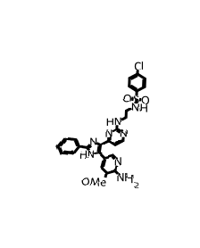 COC1C=C(c2[nH]c(-c3ccccc3)nc2-c2ccnc(NCCNS(=O)(=O)c3ccc(Cl)cc3)n2)C=NC1N